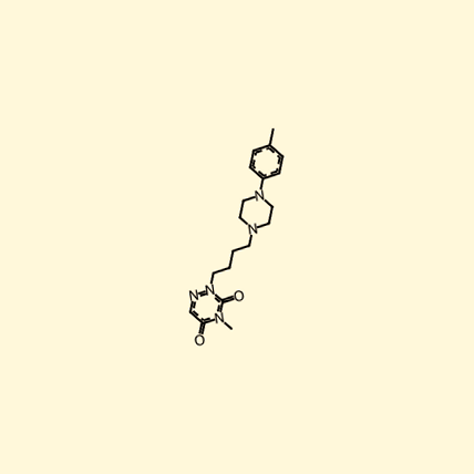 Cc1ccc(N2CCN(CCCCn3ncc(=O)n(C)c3=O)CC2)cc1